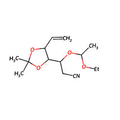 C=CC1OC(C)(C)OC1C(CC#N)OC(C)OCC